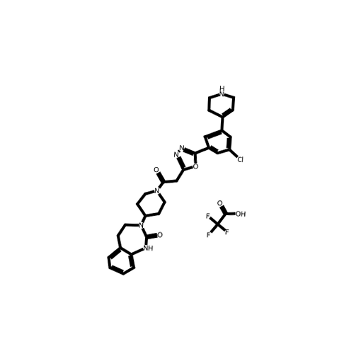 O=C(Cc1nnc(-c2cc(Cl)cc(C3=CCNCC3)c2)o1)N1CCC(N2CCc3ccccc3NC2=O)CC1.O=C(O)C(F)(F)F